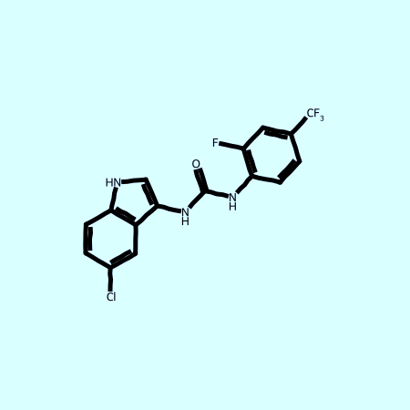 O=C(Nc1ccc(C(F)(F)F)cc1F)Nc1c[nH]c2ccc(Cl)cc12